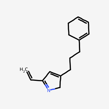 C=CC1=NCC(CCCC2=CC=CCC2)=C1